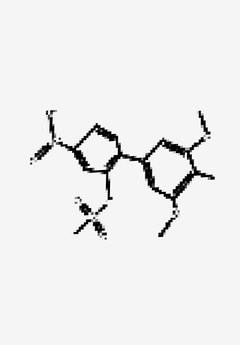 COc1cc(-c2ccc([N+](=O)[O-])cc2OS(C)(=O)=O)cc(OC)c1C